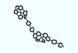 c1ccc2c(c1)-c1ccccc1C21c2c(ccc3ccccc23)-c2ccc3cc(-c4ccc(-c5ccc(-c6cccc7c8c(ccc67)-c6ccc7cc(-c9ccc(-c%10ccncc%10)cc9)ccc7c6C86c7ccccc7-c7ccccc76)cn5)cc4)ccc3c21